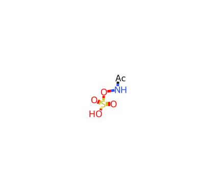 CC(=O)NOS(=O)(=O)O